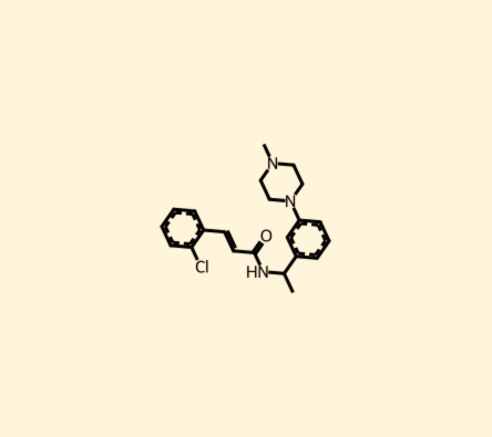 CC(NC(=O)C=Cc1ccccc1Cl)c1cccc(N2CCN(C)CC2)c1